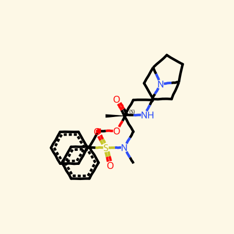 C[C@@H](CCN1C2CCC1CC(NC(=O)OCc1ccccc1)C2)CN(C)S(=O)(=O)c1ccccc1